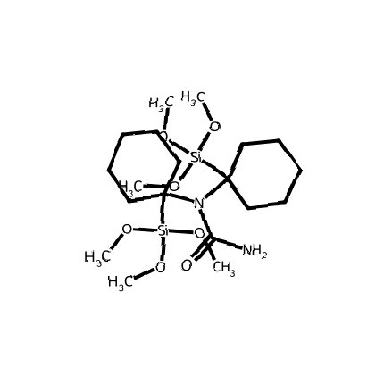 CO[Si](OC)(OC)C1(N(C(N)=O)C2([Si](OC)(OC)OC)CCCCC2)CCCCC1